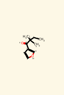 CCC(C)(C)C(=O)c1ccoc1